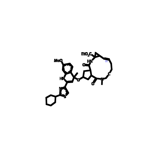 CCOC(=O)C12CC1/C=C/CCCCN(C)C(=O)C1CC(OC3(C)C=C(c4csc(C5CCCCC5)n4)Nc4cc(OC)ccc43)CC1C(=O)N2